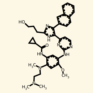 COc1cc(N(C)CCN(C)C)c(NC(=O)C2CC2)cc1Nc1nccc(-c2[nH]c(CCCO)nc2-c2ccc3ccccc3c2)n1